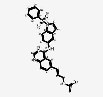 CC(=O)OCC=Cc1ccc2ncnc(Nc3ccc4c(ccn4S(=O)(=O)c4ccccc4)c3)c2c1